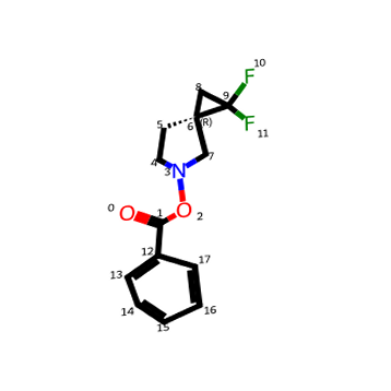 O=C(ON1CC[C@]2(C1)CC2(F)F)c1ccccc1